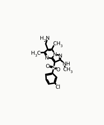 CNc1nn2c(C)c(CN)c(C)nc2c1S(=O)(=O)c1cccc(Cl)c1